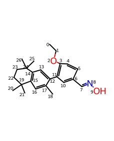 CCOc1ccc(/C=N/O)cc1-c1cc2c(cc1C)C(C)(C)CCC2(C)C